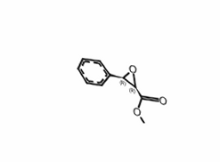 COC(=O)[C@@H]1O[C@@H]1c1ccccc1